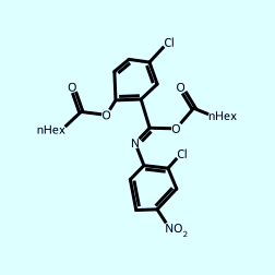 CCCCCCC(=O)OC(=Nc1ccc([N+](=O)[O-])cc1Cl)c1cc(Cl)ccc1OC(=O)CCCCCC